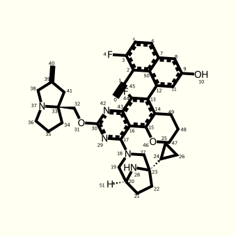 C#Cc1c(F)ccc2cc(O)cc(-c3c4c(c5c(N6C[C@@H]7CC[C@](C8CC8)(C6)N7)nc(OC[C@@]67CCCN6CC(=C)C7)nc5c3F)OCCC4)c12